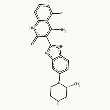 C[C@@H]1CNCCN1c1ccc2[nH]c(-c3c(N)c4c(F)cccc4[nH]c3=O)nc2c1